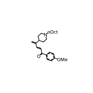 C=C(/C=C/C(=O)c1ccc(OC)cc1)C1CCN(CCCCCCCC)CC1